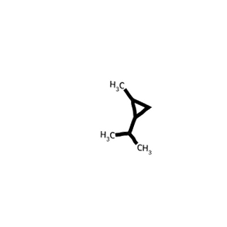 CC(C)C1CC1C